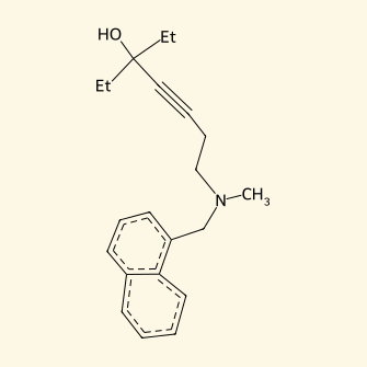 CCC(O)(C#CCCN(C)Cc1cccc2ccccc12)CC